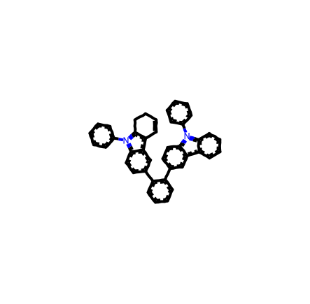 C1=Cc2c(n(-c3ccccc3)c3ccc(-c4ccccc4-c4ccc5c(c4)c4ccccc4n5-c4ccccc4)cc23)CC1